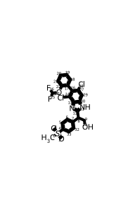 CS(=O)(=O)c1ccc(C(CO)c2nc3c(Cl)c(-c4ccccc4OC(F)F)c(Cl)cc3[nH]2)cc1